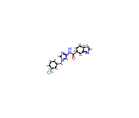 O=C(Nc1cn(Cc2cccc(Cl)c2)cn1)c1ccc2scnc2c1